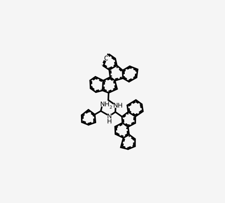 NC(NC(NCc1cc2c3ccccc3c3ccccc3c2c2ccccc12)c1c2ccccc2cc2c1ccc1ccccc12)c1ccccc1